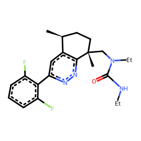 CCNC(=O)N(CC)C[C@@]1(C)CC[C@H](C)c2cc(-c3c(F)cccc3F)nnc21